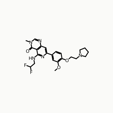 COc1cc(-c2cc3ncn(C)c(=O)c3c(NCC(F)F)n2)ccc1OCCN1CCCC1